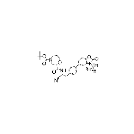 [2H]C([2H])([2H])n1c(=O)oc2ccc(-c3ccc(C[C@@H](C#N)NC(=O)[C@@H]4CN(C(=O)OC(C)(C)C)CCCO4)cc3)cc21